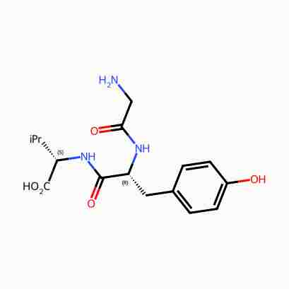 CC(C)[C@H](NC(=O)[C@@H](Cc1ccc(O)cc1)NC(=O)CN)C(=O)O